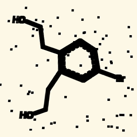 OCCc1ccc(Br)cc1CCO